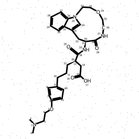 CN(C)CCOc1ccc(CCC[C@H](CC(=O)O)C(=O)N[C@H]2Cc3cn(c4ccccc34)CCOCCNC2=O)cc1